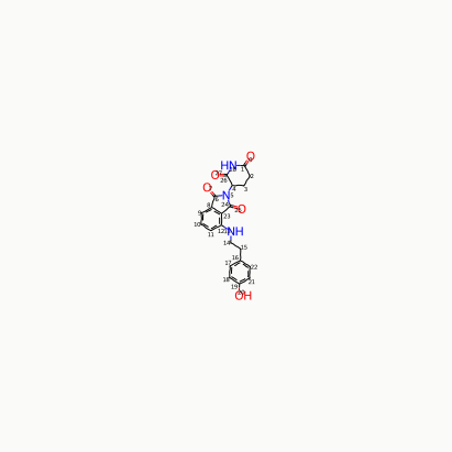 O=C1CCC(N2C(=O)c3cccc(NCCc4ccc(O)cc4)c3C2=O)C(=O)N1